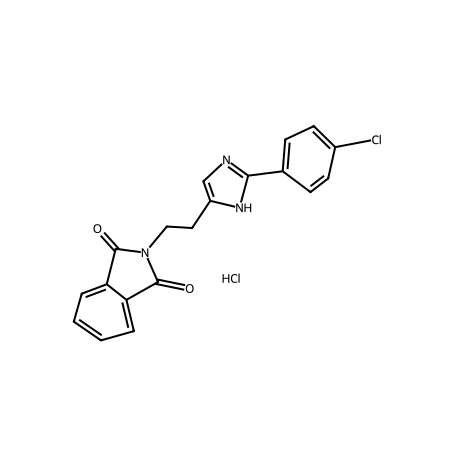 Cl.O=C1c2ccccc2C(=O)N1CCc1cnc(-c2ccc(Cl)cc2)[nH]1